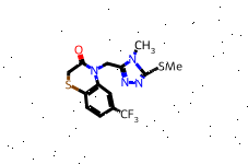 CSc1nnc(CN2C(=O)CSc3ccc(C(F)(F)F)cc32)n1C